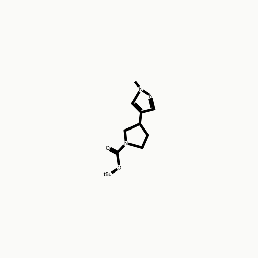 Cn1cc(C2CCN(C(=O)OC(C)(C)C)C2)cn1